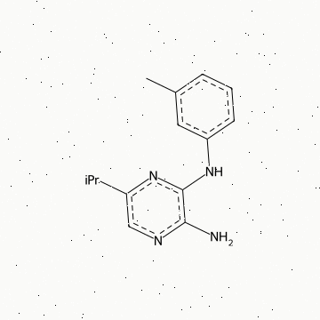 Cc1cccc(Nc2nc(C(C)C)cnc2N)c1